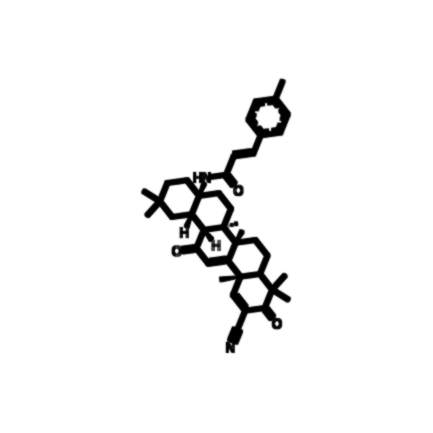 Cc1ccc(/C=C/C(=O)N[C@]23CCC(C)(C)C[C@H]2[C@H]2C(=O)C=C4[C@@]5(C)C=C(C#N)C(=O)C(C)(C)C5CC[C@@]4(C)[C@]2(C)CC3)cc1